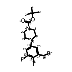 CC(C)(C)OC(=O)N1CCN(c2cc(F)c(F)c(CBr)c2)CC1